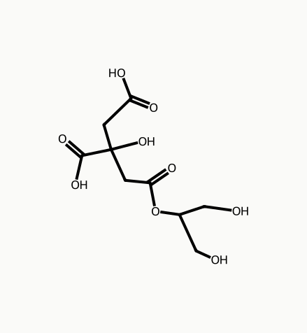 O=C(O)CC(O)(CC(=O)OC(CO)CO)C(=O)O